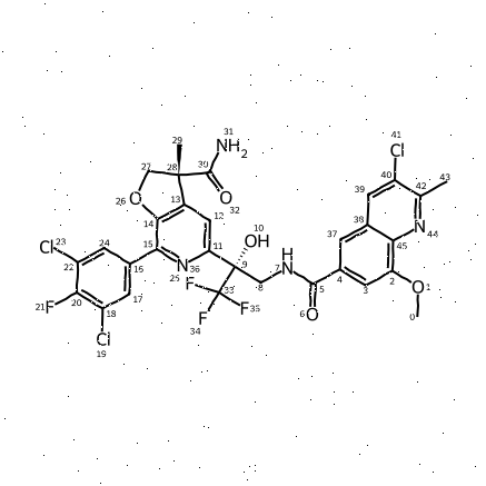 COc1cc(C(=O)NC[C@](O)(c2cc3c(c(-c4cc(Cl)c(F)c(Cl)c4)n2)OC[C@]3(C)C(N)=O)C(F)(F)F)cc2cc(Cl)c(C)nc12